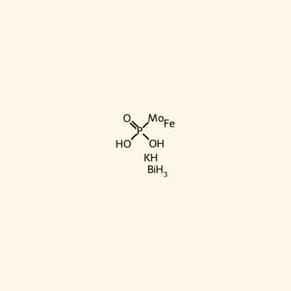 O=[P](O)(O)[Mo].[BiH3].[Fe].[KH]